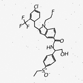 CC[S+]([O-])c1ccc(C(CO)NC(=O)c2ccc3c(c2)cc(CC2CC=C(Cl)C=C2C(F)(F)F)n3CCF)cc1